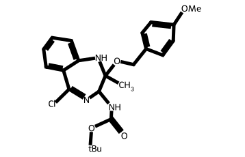 COc1ccc(COC2(C)Nc3ccccc3C(Cl)=NC2NC(=O)OC(C)(C)C)cc1